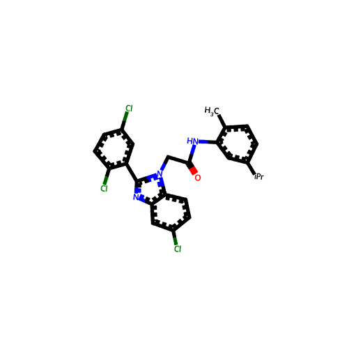 Cc1ccc(C(C)C)cc1NC(=O)Cn1c(-c2cc(Cl)ccc2Cl)nc2cc(Cl)ccc21